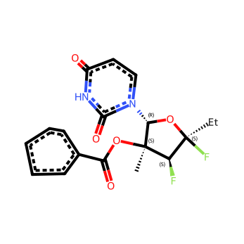 CC[C@@]1(F)O[C@@H](n2ccc(=O)[nH]c2=O)[C@](C)(OC(=O)c2ccccc2)[C@@H]1F